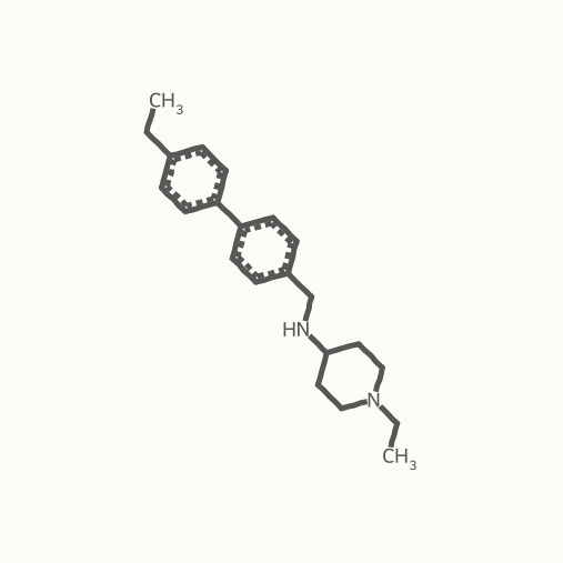 CCc1ccc(-c2ccc(CNC3CCN(CC)CC3)cc2)cc1